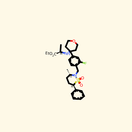 CCOC(=O)[C@@H](C)NC1(c2ccc(CN3[C@@H](C)CC[C@H](c4ccccc4)S3(=O)=O)c(F)c2)CCOCC1